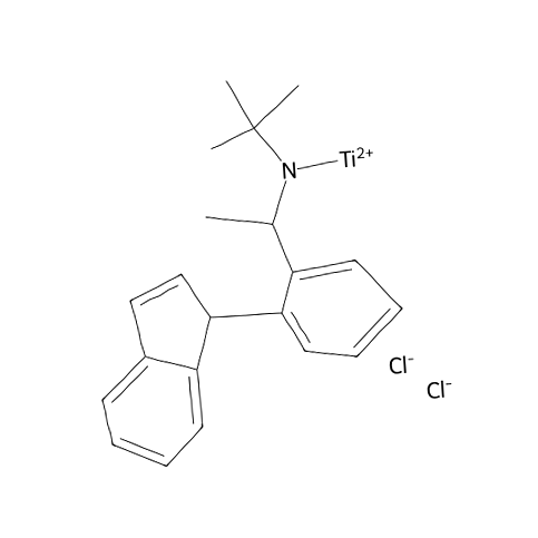 CC(c1ccccc1C1C=Cc2ccccc21)[N]([Ti+2])C(C)(C)C.[Cl-].[Cl-]